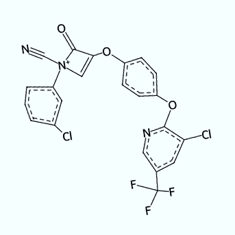 N#C[N+]1(c2cccc(Cl)c2)C=C(Oc2ccc(Oc3ncc(C(F)(F)F)cc3Cl)cc2)C1=O